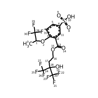 CC(Oc1ccc(S(=O)(=O)O)cc1C(=O)OCCC(O)(C(F)(F)F)C(F)(F)F)C(F)(F)F